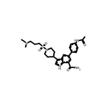 CC(=O)Nc1ccc(-c2cc(C(N)=O)c3[nH]cc(C4CCN(S(=O)(=O)CCCN(C)C)CC4)c3c2)cc1